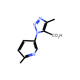 Cc1ccc(-n2nnc(C)c2C(=O)O)cn1